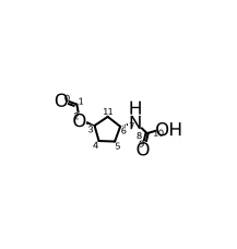 O=CO[C@@H]1CC[C@@H](NC(=O)O)C1